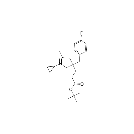 CCCC(CCC(=O)OC(C)(C)C)(CNC1CC1)Cc1ccc(F)cc1